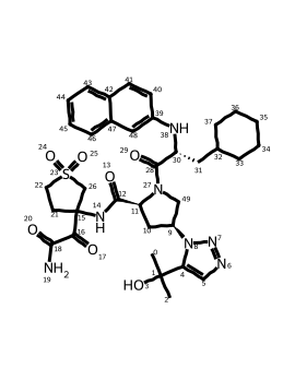 CC(C)(O)c1cnnn1[C@H]1C[C@@H](C(=O)NC2(C(=O)C(N)=O)CCS(=O)(=O)C2)N(C(=O)[C@@H](CC2CCCCC2)Nc2ccc3ccccc3c2)C1